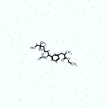 CCOC(=O)C(C)Cc1cccc(C(CCCC(C)(C)CO)OPI)c1